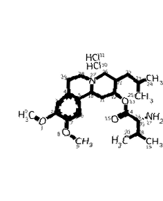 COc1cc2c(cc1OC)C1CC(OC(=O)[C@H](N)C(C)C)C(CC(C)C)CN1CC2.Cl.Cl